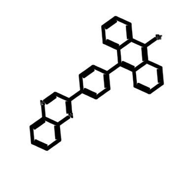 Brc1c2ccccc2c(-c2ccc(-c3cnc4ccccc4n3)cc2)c2ccccc12